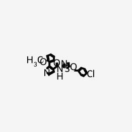 COc1ccccc1-c1cnccc1C(=O)Nc1ncc(OCc2ccc(Cl)cc2)s1